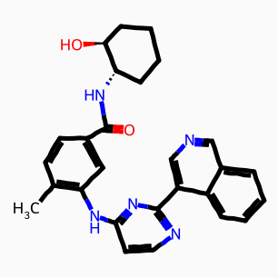 Cc1ccc(C(=O)N[C@H]2CCCC[C@@H]2O)cc1Nc1ccnc(-c2cncc3ccccc23)n1